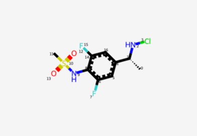 C[C@@H](NCl)c1cc(F)c(NS(C)(=O)=O)c(F)c1